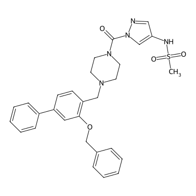 CS(=O)(=O)Nc1cnn(C(=O)N2CCN(Cc3ccc(-c4ccccc4)cc3OCc3ccccc3)CC2)c1